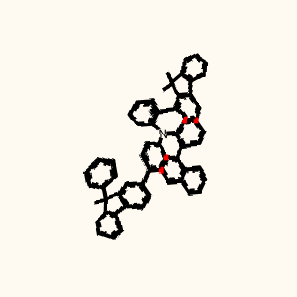 CC1(C)c2ccccc2-c2cccc(-c3ccccc3N(c3ccc(-c4ccc5c(c4)C(C)(c4ccccc4)c4ccccc4-5)cc3)c3ccccc3-c3cccc4ccccc34)c21